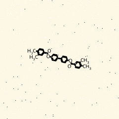 Cc1ccc(C(=O)Oc2ccc(-c3ccc(OC(=O)c4ccc(C)c(C)c4)cc3)cc2)cc1C